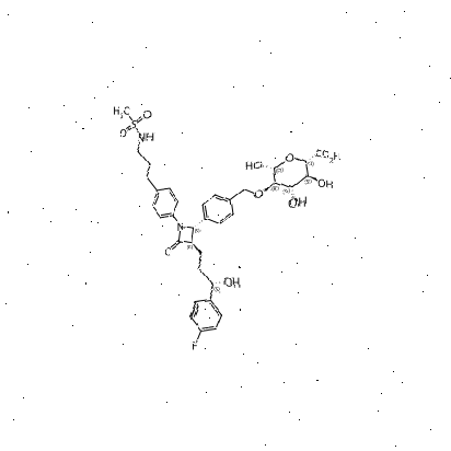 CS(=O)(=O)NCCCc1ccc(N2C(=O)[C@H](CC[C@H](O)c3ccc(F)cc3)[C@H]2c2ccc(CO[C@@H]3[C@@H](O)[C@H](O)[C@@H](C(=O)O)O[C@H]3O)cc2)cc1